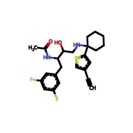 C#Cc1csc(C2(NCC(O)C(Cc3cc(F)cc(F)c3)NC(C)=O)CCCCC2)c1